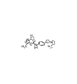 Cc1noc(C)c1OC(=O)Nc1ccc(N2CCC(N3CCCC3C)C2)cc1